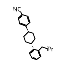 CC(C)Cc1ccccc1[C@H]1CC[C@H](c2ccc(C#N)cc2)CC1